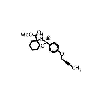 CC#CCOc1ccc(S(=O)(=O)NC2(C(=O)OC)CCCCC2)cc1